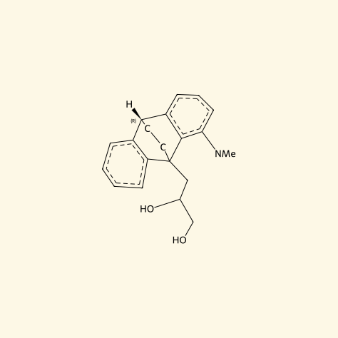 CNc1cccc2c1C1(CC(O)CO)CC[C@@H]2c2ccccc21